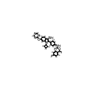 CC(OC(=O)Nc1ccc(-c2c(N)c3ccc(Oc4ncncn4)cc3n2C2CCC2)cc1)c1ccc(F)cc1